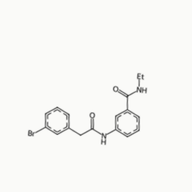 CCNC(=O)c1cccc(NC(=O)Cc2cccc(Br)c2)c1